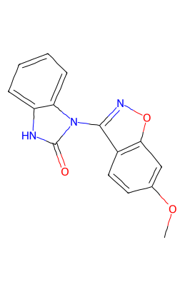 COc1ccc2c(-n3c(=O)[nH]c4ccccc43)noc2c1